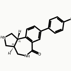 O=C1NC[C@H]2CNC[C@@H]2c2ccc(-c3ccc(F)cc3)cc21